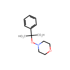 O=C(O)C(ON1CCOCC1)(C(=O)O)c1ccccc1